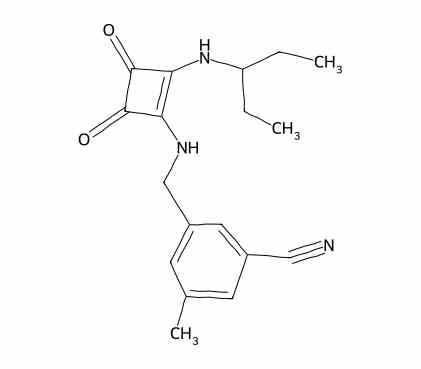 CCC(CC)Nc1c(NCc2cc(C)cc(C#N)c2)c(=O)c1=O